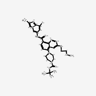 COCCOc1cc2c(N3CCN(C(=O)OC(C)(C)C)CC3)ccc(C(=O)Nc3cc(F)c4nc(C)cn4c3)c2nn1